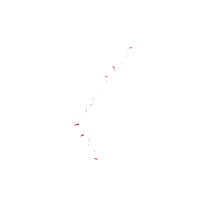 O=CCCCC(=O)OC(=O)CCCCCCCCC(=O)OC(=O)CCCC=O